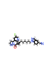 N#Cc1ccc2c(cnn2CCCCCCC23CC(C(=O)N4N=CCC4c4cncc(F)c4)(C2)C3)c1